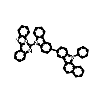 c1ccc(-n2c3ccc(-c4ccc5c(c4)c4ccccc4n5-c4nc5ccccc5c5nc6ccccc6n45)cc3c3ccc4ccccc4c32)cc1